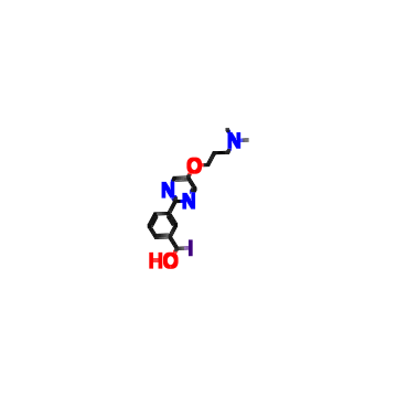 CN(C)CCCOc1cnc(-c2cccc(C(O)I)c2)nc1